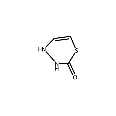 O=C1NNC=CS1